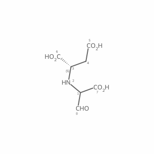 O=CC(N[C@@H](CC(=O)O)C(=O)O)C(=O)O